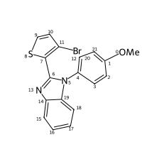 COc1ccc(-n2c(-c3sccc3Br)nc3ccccc32)cc1